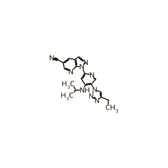 CCc1cn(-c2cnc(-n3ncc4cc(C#N)cnc43)cc2NC(C)C)nn1